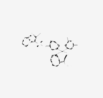 NC1=NC(c2cccc(OS(=O)(=O)c3c(Cl)nc4sccn34)c2)(c2cc(Cl)nc(Cl)c2)c2ccccc21